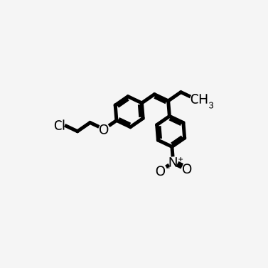 CCC(=Cc1ccc(OCCCl)cc1)c1ccc([N+](=O)[O-])cc1